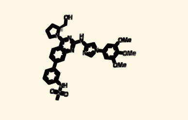 COc1cc(-n2cnc(Nc3nc(N4CCC[C@H]4CO)c4ccc(-c5cccc(NS(C)(=O)=O)c5)cc4n3)c2)cc(OC)c1OC